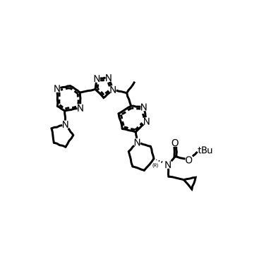 CC(c1ccc(N2CCC[C@@H](N(CC3CC3)C(=O)OC(C)(C)C)C2)nn1)n1cc(-c2cncc(N3CCCC3)n2)nn1